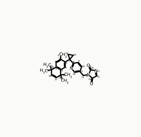 Cc1cc2c(cc1C1(c3ccc(CN4C(=O)C=NC4=O)cn3)CC1)C(C)(C)C=CC2(C)C